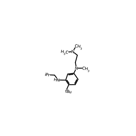 CC(C)CNc1cc(N(C)CCN(C)C)ccc1C(C)(C)C